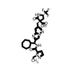 CCn1nccc1C(=O)N[C@H](c1cn2ncc(C[C@]3(C(=O)O)C[C@@H](C(F)(F)F)NC3=O)cc2n1)C1CCCCCC1